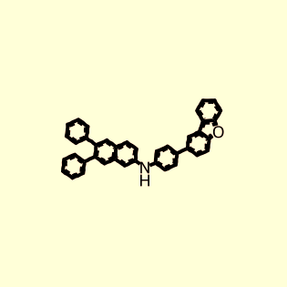 c1ccc(-c2cc3ccc(Nc4ccc(-c5ccc6oc7ccccc7c6c5)cc4)cc3cc2-c2ccccc2)cc1